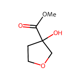 COC(=O)C1(O)CCOC1